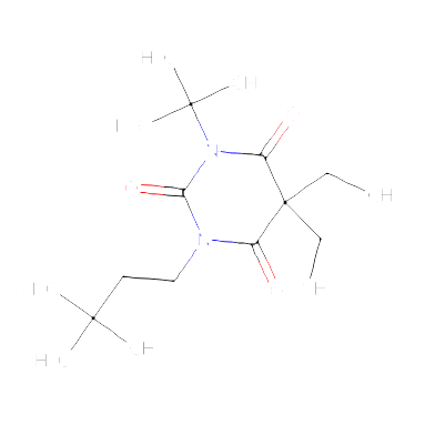 CCC1(CC)C(=O)N(CCC(C)(C)C)C(=O)N(C(C)(C)C)C1=O